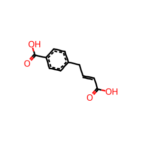 O=C(O)C=CCc1ccc(C(=O)O)cc1